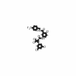 O=C(NCc1ccc(C(F)(F)F)cc1)c1cc(NC(=O)[C@H]2[C@H](c3cc(Cl)cc(Cl)c3)C2(Cl)Cl)ccc1Cl